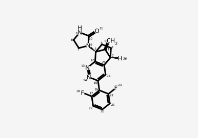 C=C1[C@@H]2CC[C@@]1(N1CCNC1=O)c1nnc(-c3c(F)cccc3F)cc12